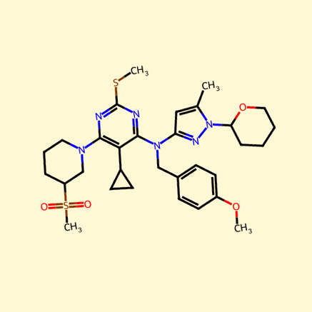 COc1ccc(CN(c2cc(C)n(C3CCCCO3)n2)c2nc(SC)nc(N3CCCC(S(C)(=O)=O)C3)c2C2CC2)cc1